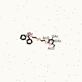 CC(=O)OC[C@H]1O[C@@H](OCCSSCCO[Si](c2ccccc2)(c2ccccc2)C(C)(C)C)[C@H](OC(C)=O)[C@@H](OC(C)=O)[C@@H]1OC(C)=O